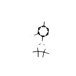 CC1(C)OB(c2ccc(Br)cc2[N+](=O)[O-])OC1(C)C